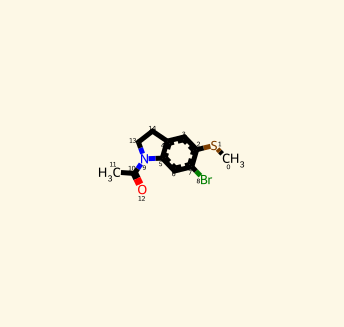 CSc1cc2c(cc1Br)N(C(C)=O)CC2